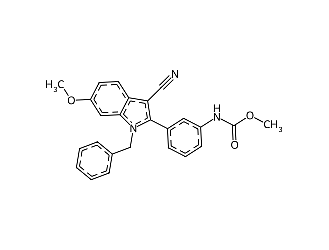 COC(=O)Nc1cccc(-c2c(C#N)c3ccc(OC)cc3n2Cc2ccccc2)c1